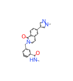 CNC(=O)c1c#ccc(Cn2ccc3cc(-c4cnn(C)c4)ccc3c2=O)c1